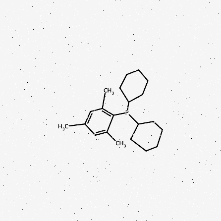 Cc1cc(C)c(P(C2CCCCC2)C2CCCCC2)c(C)c1